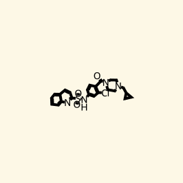 O=C(c1ccc(NS(=O)(=O)c2ccc3ccccc3n2)cc1Cl)N1CCN(CC2CC2)CC1